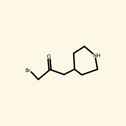 O=C(CBr)CC1CCNCC1